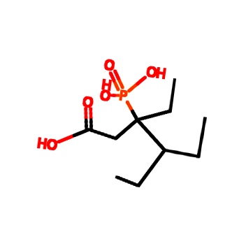 CCC(CC)C(CC)(CC(=O)O)P(=O)(O)O